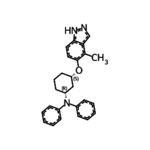 Cc1c(O[C@H]2CCC[C@@H](N(c3ccccc3)c3ccccc3)C2)ccc2[nH]ncc12